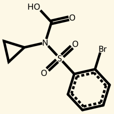 O=C(O)N(C1CC1)S(=O)(=O)c1ccccc1Br